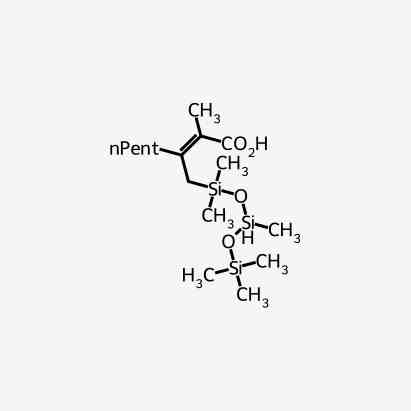 CCCCCC(C[Si](C)(C)O[SiH](C)O[Si](C)(C)C)=C(C)C(=O)O